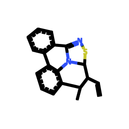 C=CC1C(C)c2cccc3c2N2C(=NSC12)c1ccccc1-3